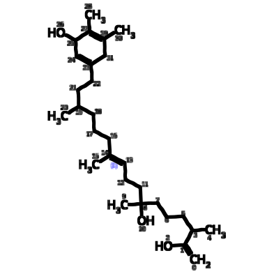 C=C(O)C(C)CCCC(C)(O)CC/C=C(\C)CCCC(C)CCC1=CC(O)C(C)=C(C)C1